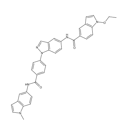 CCOn1ccc2cc(C(=O)Nc3ccc4c(cnn4-c4ccc(C(=O)Nc5ccc6c(ccn6C)c5)cc4)c3)ccc21